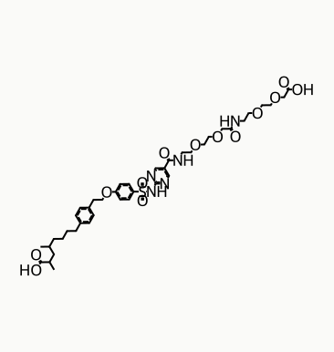 CC(CCCCc1ccc(CCOc2ccc(S(=O)(=O)Nc3ncc(C(=O)NCCOCCOCC(=O)NCCOCCOCC(=O)O)cn3)cc2)cc1)CC(C)C(=O)O